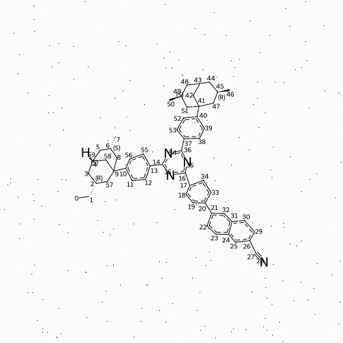 CC[C@@H]1C[C@@H]2C[C@H](C)CC(c3ccc(-c4nc(-c5ccc(-c6ccc7cc(C#N)ccc7c6)cc5)nc(-c5ccc(C67CC(C[C@@H](C)C6)C[C@H](C)C7)cc5)n4)cc3)(C1)C2